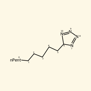 [CH2]CCCCCCCCCC1N=NN=N1